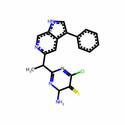 CC(C1=NC(N)C(=S)C(Cl)=N1)c1cc2c(-c3ccccc3)c[nH]c2cn1